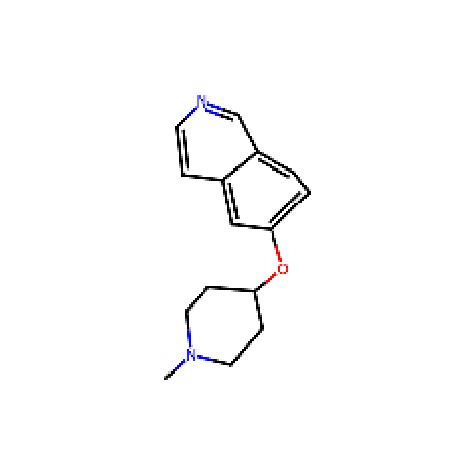 CN1CCC(Oc2ccc3cnccc3c2)CC1